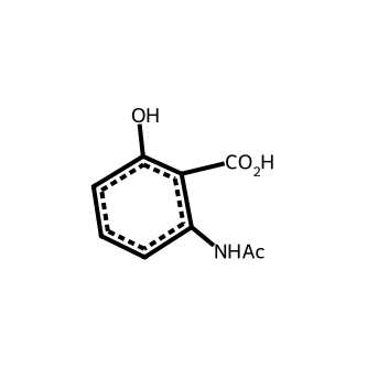 CC(=O)Nc1cccc(O)c1C(=O)O